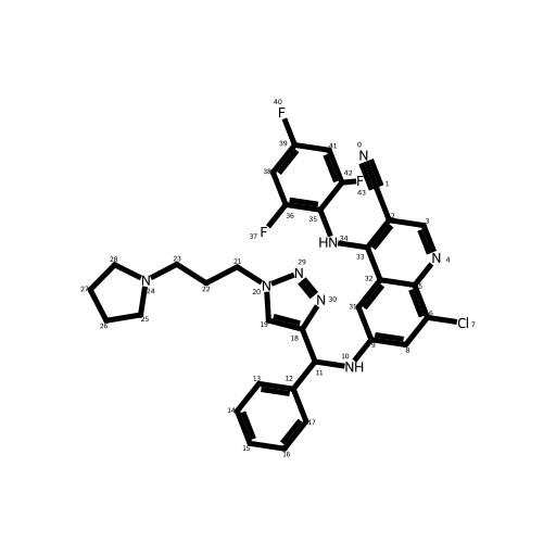 N#Cc1cnc2c(Cl)cc(NC(c3ccccc3)c3cn(CCCN4CCCC4)nn3)cc2c1Nc1c(F)cc(F)cc1F